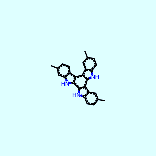 Cc1ccc2c(c1)[nH]c1c3[nH]c4ccc(C)cc4c3c3[nH]c4ccc(C)cc4c3c21